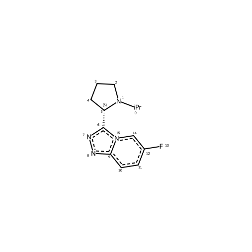 CC(C)N1CCC[C@H]1c1nnc2ccc(F)cn12